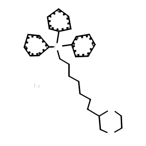 [Br-].c1ccc([P+](CCCCCCCC2COCCO2)(c2ccccc2)c2ccccc2)cc1